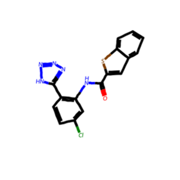 O=C(Nc1cc(Cl)ccc1-c1nnn[nH]1)c1cc2ccccc2s1